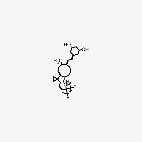 CC1C/C=C(/C2(C/C=C\C(O)(C(F)(F)F)C(F)(F)F)CC2)[C@@H](C)CCC/C1=C\C=C1\CC(O)C[C@H](O)C1